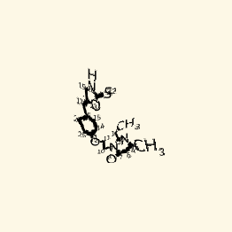 CCc1nc(C)cc(=O)n1CCOc1ccc(C=C2CNC(=S)O2)cc1